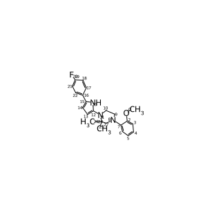 COc1ccccc1N1CCN(c2ccc(-c3ccc(F)cc3)[nH]2)C(C)(C)C1